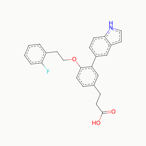 O=C(O)CCc1ccc(OCCc2ccccc2F)c(-c2ccc3[nH]ccc3c2)c1